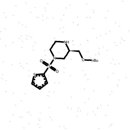 CCCCOC[C@H]1CN(S(=O)(=O)c2cccs2)CCN1